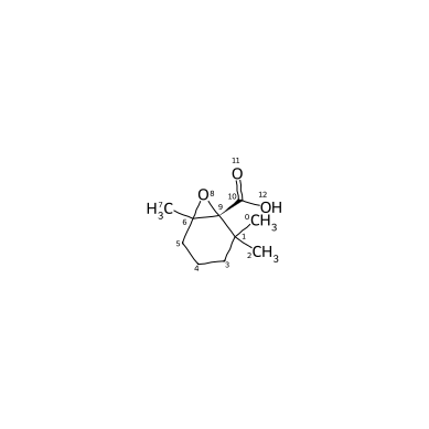 CC1(C)CCCC2(C)O[C@]12C(=O)O